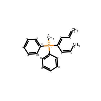 C=C/C=C(\C=C/C)[PH](C)(c1ccccc1)c1ccccc1